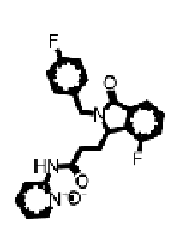 O=C(CCC1c2c(F)cccc2C(=O)N1Cc1ccc(F)cc1)Nc1cccc[n+]1[O-]